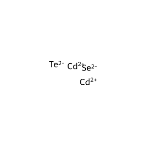 [Cd+2].[Cd+2].[Se-2].[Te-2]